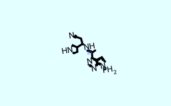 C/C(=C\NC(CC#N)C1CCNC1)c1ncnc2c1ccn2P